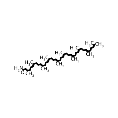 CC(C)=CCCC(C)=CCCC(C)=CCCC(C)=CCCC(C)=CCCC(C)=CCCC(C)=CCCC(C)=CCCC(C)=CCCC(C)CC(N)=O